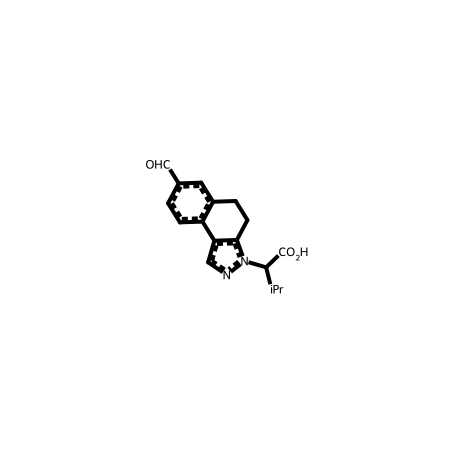 CC(C)C(C(=O)O)n1ncc2c1CCc1cc(C=O)ccc1-2